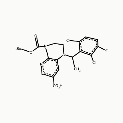 CC(c1c(Cl)ccc(F)c1Cl)N1CCN(C(=O)OC(C)(C)C)c2nnc(C(=O)O)cc21